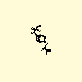 C=C(C)C(=O)OC1CC2CC1CC2NS(=O)(=O)CC